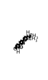 CC(C)NC1CCN(c2ccc(C3CCC(=O)NC3=O)cn2)CC1